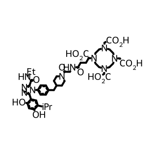 CCNC(=O)c1nnc(-c2cc(C(C)C)c(O)cc2O)n1-c1ccc(CC2CCN(C(=O)CNC(=O)CCC(C(=O)O)N3CCN(CC(=O)O)CCN(CC(=O)O)CCN(CC(=O)O)CC3)CC2)cc1